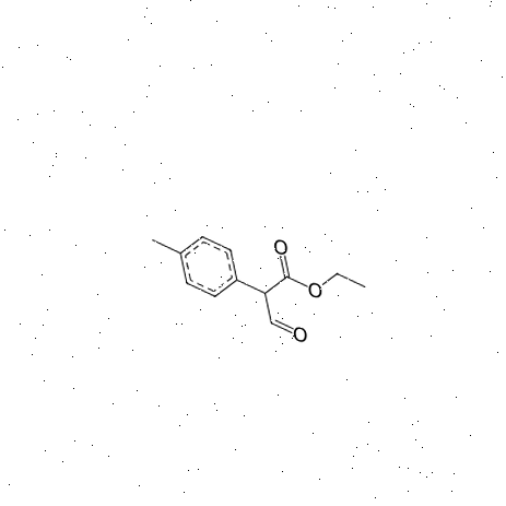 CCOC(=O)C(C=O)c1ccc(C)cc1